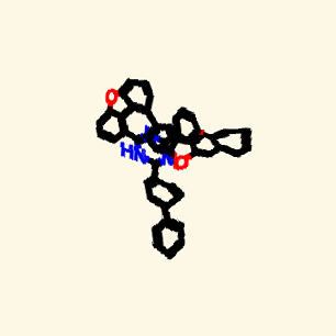 c1ccc(C2=NC(c3ccc(-c4ccccc4)cc3)NC(c3cccc4oc5cccc(-c6ccc7oc8cc9ccccc9cc8c7c6)c5c34)=N2)cc1